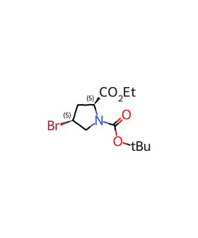 CCOC(=O)[C@@H]1C[C@H](Br)CN1C(=O)OC(C)(C)C